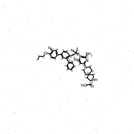 CCCOc1ccc(-c2ccc([C@@H](Oc3cc(N4CCC5(CC4)CN[C@H](C(=O)O)C5)nc(N)n3)C(F)(F)F)c(-c3ccccc3)c2)cc1F